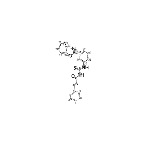 O=C(C=Cc1ccccc1)NC(=S)Nc1cccc(-c2nc3ncccc3o2)c1